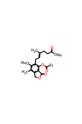 CCC(=O)Oc1c(C/C=C(\C)CCC(=O)OC)c(OC)c(C)c2c1C(=O)OC2